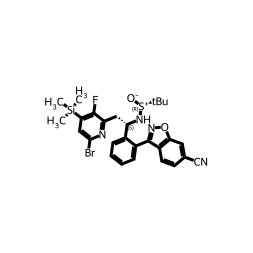 CC(C)(C)[S@+]([O-])N[C@@H](Cc1nc(Br)cc([Si](C)(C)C)c1F)c1ccccc1-c1noc2cc(C#N)ccc12